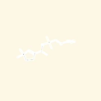 CCOC(=O)OCC(C)(C)OC(C)C1=CC(C)(C)CC1